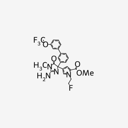 COC(=O)c1cc(C2(c3cccc(-c4cccc(OC(F)(F)F)c4)c3)N=C(N)N(C)C2=O)cn1CCF